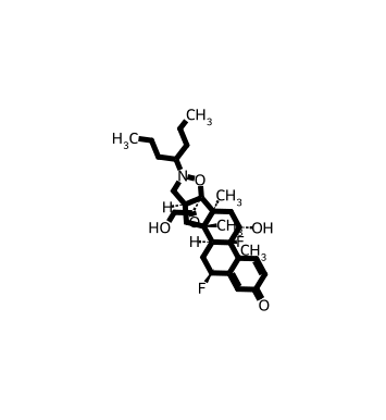 CCCC(CCC)N1C[C@@H]2C[C@@]3(C)[C@@H]4C[C@H](F)C5=CC(=O)C=C[C@]5(C)[C@@]4(F)[C@@H](O)C[C@]3(C)[C@]2(C(=O)CO)O1